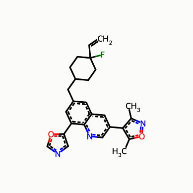 C=CC1(F)CCC(Cc2cc(-c3cnco3)c3ncc(-c4c(C)noc4C)cc3c2)CC1